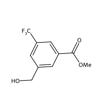 COC(=O)c1cc(CO)cc(C(F)(F)F)c1